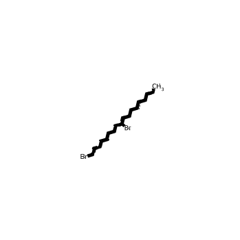 CCCCCCCCCC(Br)CCCCCCCCBr